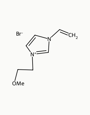 C=Cn1cc[n+](CCOC)c1.[Br-]